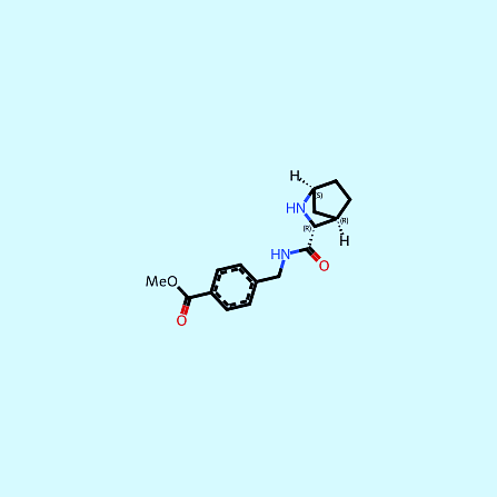 COC(=O)c1ccc(CNC(=O)[C@@H]2N[C@H]3CC[C@@H]2C3)cc1